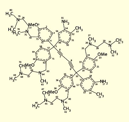 COc1ccc(C(C#CC#CC(c2ccc(C)c(N)c2)(c2ccc(OC)c(CN(C)CCN(C)C)c2)c2ccc(OC)c(CN(C)CCN(C)C)c2)(c2ccc(C)c(N)c2)c2ccc(OC)c(CN(C)CCN(C)C)c2)cc1CN(C)CCN(C)C